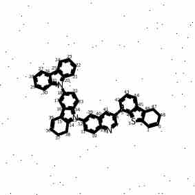 C1=Cc2sc3c(-c4cnc5ccc(-n6c7c(c8cc(-n9c%10ccccc%10c%10ccccc%109)ccc86)C=CCC7)cc5c4)cccc3c2CC1